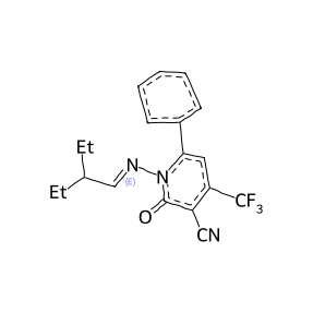 CCC(/C=N/n1c(-c2ccccc2)cc(C(F)(F)F)c(C#N)c1=O)CC